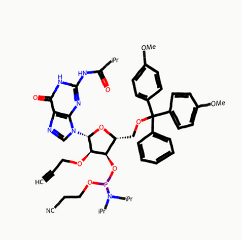 C#CCO[C@@H]1[C@H](OP(OCCC#N)N(C(C)C)C(C)C)[C@@H](COC(c2ccccc2)(c2ccc(OC)cc2)c2ccc(OC)cc2)O[C@H]1n1cnc2c(=O)[nH]c(NC(=O)C(C)C)nc21